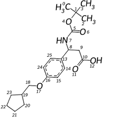 CC(C)(C)OC(=O)NC(CC(=O)O)c1ccc(OCC2CCCC2)cc1